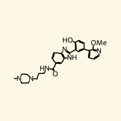 COc1ncccc1-c1ccc(O)c(-c2nc3ccc(C(=O)NCCCN4CCN(C)CC4)cc3[nH]2)c1